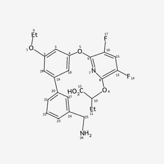 CCOc1cc(Oc2nc(OC(CC)C(=O)O)c(F)cc2F)cc(-c2cccc(CN)c2)c1